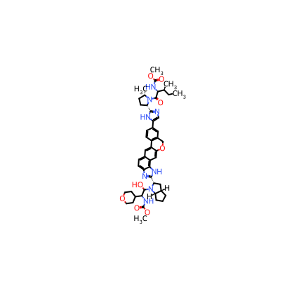 CC[C@H](C)[C@H](NC(=O)OC)C(=O)N1[C@@H](C)CC[C@H]1c1ncc(-c2ccc3c(c2)COc2cc4c(ccc5nc([C@@H]6C[C@@H]7CCC[C@@H]7N6C(O)[C@@H](NC(=O)OC)C6CCOCC6)[nH]c54)cc2-3)[nH]1